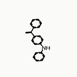 C=C(c1ccccc1)c1ccc(Nc2ccccc2)cc1